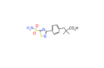 CC(C)(Cc1ccc(-c2nsc(S(N)(=O)=O)n2)cc1)C(=O)O